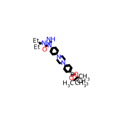 CCC(CC)NC(=O)N(C=N)c1ccc(N2CCN(c3ccc(B4OC(C)(C)C(C)(C)O4)cc3)CC2)cc1